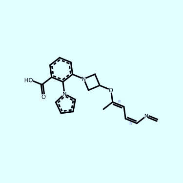 C=N/C=C\C=C(/C)OC1CN(c2cccc(C(=O)O)c2-n2cccc2)C1